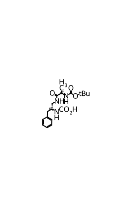 C[C@@H](NC(=O)OC(C)(C)C)C(=O)NC[C@H](Cc1ccccc1)NC(=O)O